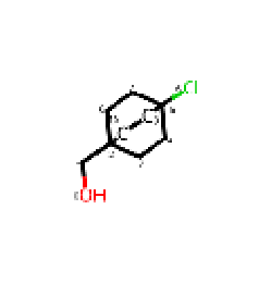 OCC12CCC(Cl)(CC1)CC2